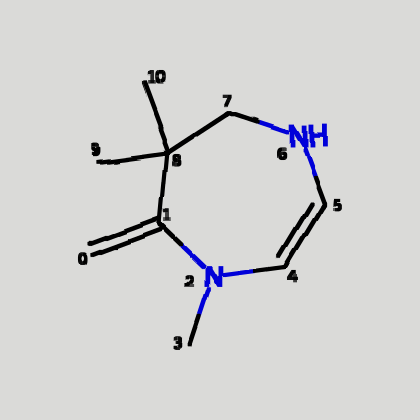 C=C1N(C)C=CNCC1(C)C